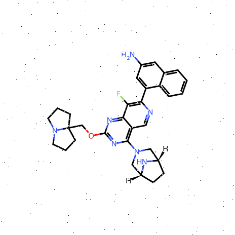 Nc1cc(-c2ncc3c(N4C[C@H]5CC[C@@H](C4)N5)nc(OCC45CCCN4CCC5)nc3c2F)c2ccccc2c1